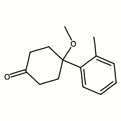 COC1(c2ccccc2C)CCC(=O)CC1